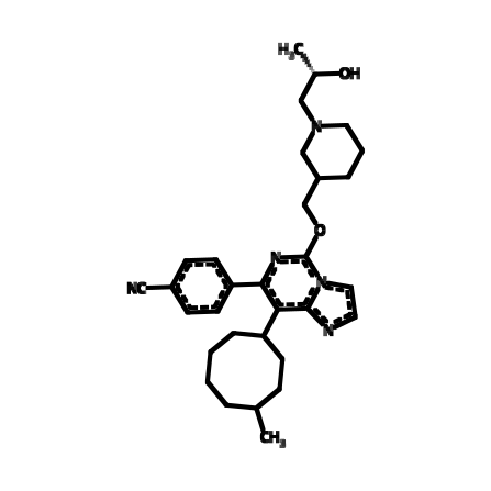 CC1CCCCC(c2c(-c3ccc(C#N)cc3)nc(OCC3CCCN(C[C@H](C)O)C3)n3ccnc23)CC1